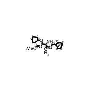 COC(=O)[C@@H]1CCCC[C@H]1OC[C@@H](N)[C@@H](C)OCC12CCC(CC1)OC2